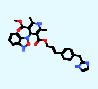 COC(=O)C1=C(C)NC(C)=C(C(=O)OCC=Cc2ccc(Cc3ncc[nH]3)cc2)C1N1ONc2ccccc21